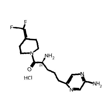 Cl.Nc1cnc(CCC[C@H](N)C(=O)N2CCC(=C(F)F)CC2)cn1